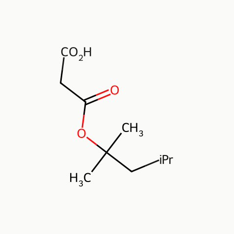 CC(C)CC(C)(C)OC(=O)CC(=O)O